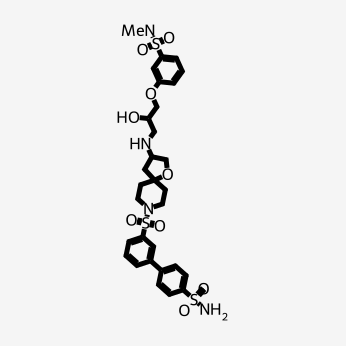 CNS(=O)(=O)c1cccc(OCC(O)CNC2COC3(CCN(S(=O)(=O)c4cccc(-c5ccc(S(N)(=O)=O)cc5)c4)CC3)C2)c1